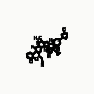 Cc1nc2c(F)c(-c3cccc(Cl)c3Cl)c(CCC#N)cc2c2c1cc([C@H]1[C@H]3C[C@H](CN(c4cccc(Cl)c4)C3)N1C(=O)C1CC1)n2[C@H]1[C@H]2CN[C@@H]1C2